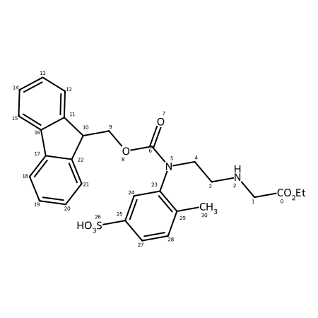 CCOC(=O)CNCCN(C(=O)OCC1c2ccccc2-c2ccccc21)c1cc(S(=O)(=O)O)ccc1C